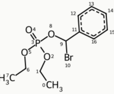 CCOP(=O)(OCC)OC(Br)c1ccccc1